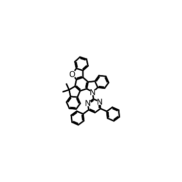 CC1(C)c2ccccc2-c2c1c1oc3ccccc3c1c1c3ccccc3n(-c3nc(-c4ccccc4)cc(-c4ccccc4)n3)c21